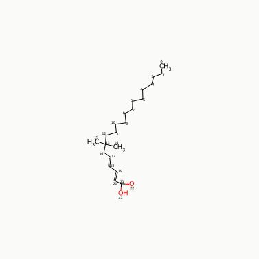 CCCCCCCCCCCCCC(C)(C)CC=CC=CC(=O)O